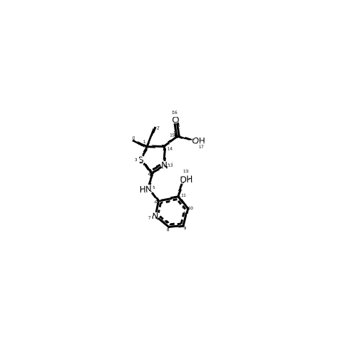 CC1(C)SC(Nc2ncccc2O)=NC1C(=O)O